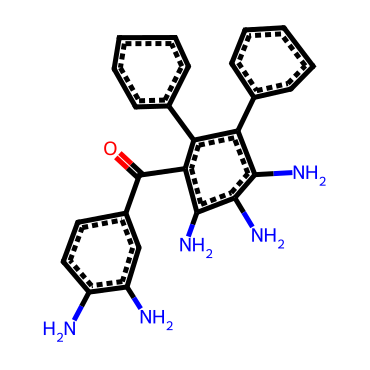 Nc1ccc(C(=O)c2c(N)c(N)c(N)c(-c3ccccc3)c2-c2ccccc2)cc1N